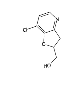 OCC1Cc2nccc(Cl)c2O1